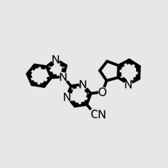 N#Cc1cnc(-n2cnc3ccccc32)nc1OC1CCc2cccnc21